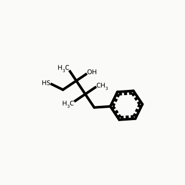 CC(C)(Cc1ccccc1)C(C)(O)CS